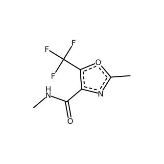 CNC(=O)c1nc(C)oc1C(F)(F)F